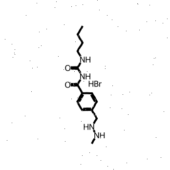 Br.CCCCNC(=O)NC(=O)c1ccc(CNNC)cc1